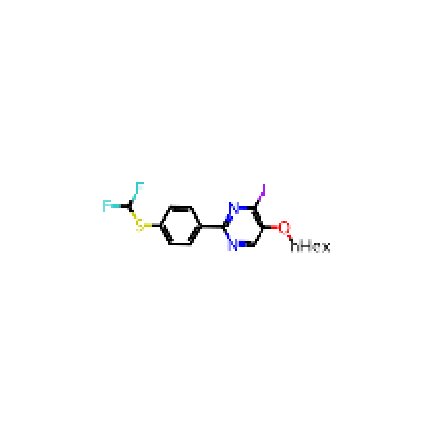 CCCCCCOc1cnc(-c2ccc(SC(F)F)cc2)nc1I